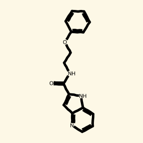 O=C(NCCOc1ccccc1)c1cc2ncccc2[nH]1